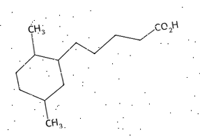 CC1CCC(C)C(CCCCC(=O)O)C1